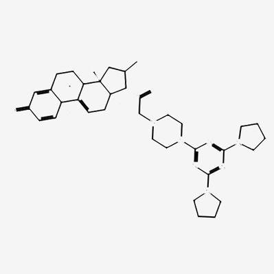 CC1C[C@H]2[C@@H]3CCC4=CC(=O)C=C[C@]4(C)C3=CC[C@]2(C)[C@H]1C(=O)CN1CCN(c2nc(N3CCCC3)nc(N3CCCC3)n2)CC1